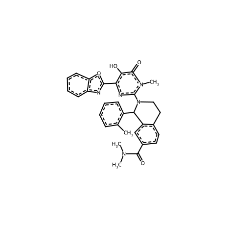 Cc1ccccc1C1c2cc(C(=O)N(C)C)ccc2CCN1c1nc(-c2nc3ccccc3o2)c(O)c(=O)n1C